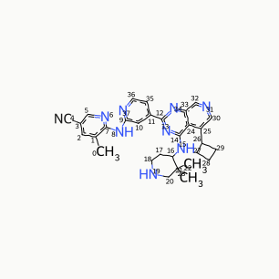 Cc1cc(C#N)cnc1Nc1cc(-c2nc(NC3CCNCC3(C)C)c3c(C4CCC4)cncc3n2)ccn1